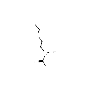 [CH2]C(=O)N(O)CCOCC